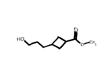 COC(=O)C1CC(CCCO)C1